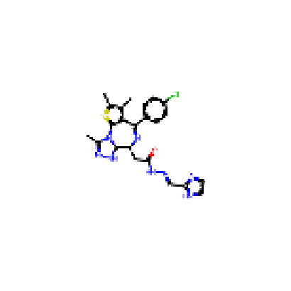 CC1=NNC2[C@H](CC(=O)N/N=C/c3ncc[nH]3)N=C(c3ccc(Cl)cc3)c3c(sc(C)c3C)N12